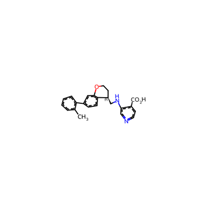 Cc1ccccc1-c1ccc2c(c1)OCC[C@H]2CNc1cnccc1C(=O)O